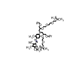 Cc1cc(N(CC(COC(C)C)OCCOCCOCCN(C)C)CC(COC(C)C)OCCOCC[N+](C)(C)C)ccc1/N=N/c1sc(C#N)c(C)c1C#N